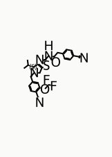 CC(C)[C@H]1c2nc(NC(=O)Cc3ccc(C#N)cc3)sc2CN1Cc1ccc(C#N)c(OC(F)F)c1